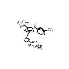 COC(=O)Nc1cccc(-c2nc(Nc3ccnc(C(F)(F)F)c3)cc(NC(C)C(F)(F)F)n2)n1